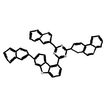 C1=CC(c2nc(-c3ccc4ccccc4c3)nc(-c3cccc4oc5cc(-c6ccc7ccccc7c6)ccc5c34)n2)Cc2ccc3ccccc3c21